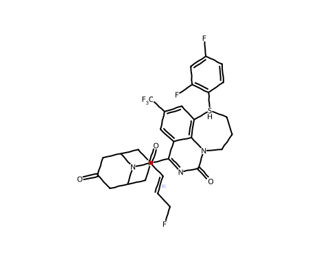 O=C1CC2CN(c3nc(=O)n4c5c(cc(C(F)(F)F)cc35)[SH](c3ccc(F)cc3F)CCC4)CC(C1)N2C(=O)/C=C/CF